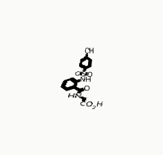 O=C(O)CNC(=O)c1ccccc1NS(=O)(=O)c1ccc(O)cc1